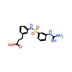 N=C(N)Nc1cccc(S(=O)(=O)Nc2cccc(CCC(=O)O)c2)c1